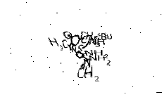 C=C/N=C(/N)c1ccc(-n2cc(C)c3c2CC(C)(C)CC3=O)c(SCCNCC(C)(C)C)c1N